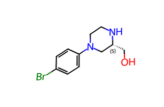 OC[C@@H]1CN(c2ccc(Br)cc2)CCN1